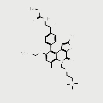 COCOc1cc(C)c2c(c1-c1ccc([C@@H](C)CNC(=O)OC(C)(C)C)cc1)c1cc(Cl)sc1c(=O)n2COCC[Si](C)(C)C